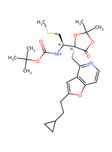 CSC[C@H](NC(=O)OC(C)(C)C)[C@@]1(Cc2nccc3oc(CCC4CC4)cc23)OC(C)(C)OC1=O